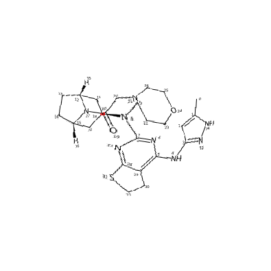 Cc1cc(Nc2nc(N(C)[C@@H]3C[C@H]4CC[C@@H](C3)N4C(=O)CN3CCOCC3)nc3c2CCS3)n[nH]1